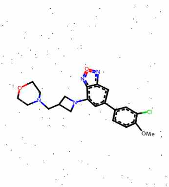 COc1ccc(-c2cc(N3CC(CN4CCOCC4)C3)c3nonc3c2)cc1Cl